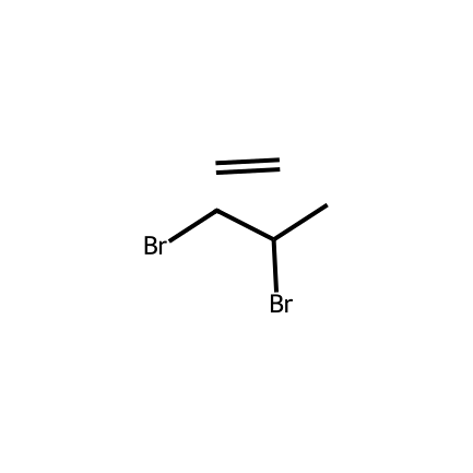 C=C.CC(Br)CBr